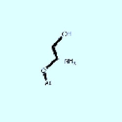 CC(=O)OCCO.N